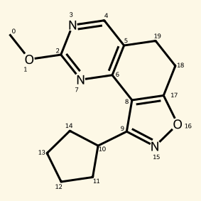 COc1ncc2c(n1)-c1c(C3CCCC3)noc1CC2